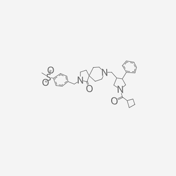 CS(=O)(=O)c1ccc(CN2CCC3(CCN(CC4CN(C(=O)C5CCC5)CC4c4ccccc4)CC3)C2=O)cc1